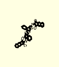 O=c1c(=NC2=Cc3sc4c5c(sc4c3C23CCCCC3)-c2sc(N=c3c(=O)c4cc6ccccc6cc4c3=O)cc2C52CCCCC2)c(=O)c2cc3ccccc3cc12